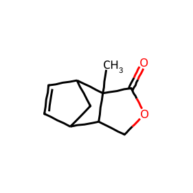 CC12C(=O)OCC1C1C=CC2C1